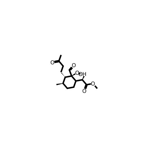 COC(=O)[C@H](C)C1CC[C@@H](C)[C@H](CCC(C)=O)[C@@]1(C=O)OO